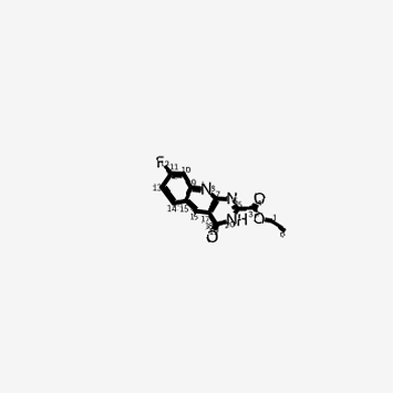 CCOC(=O)c1nc2nc3cc(F)ccc3cc2c(=O)[nH]1